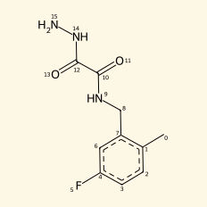 Cc1ccc(F)cc1CNC(=O)C(=O)NN